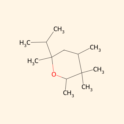 CC(C)C1(C)CC(C)C(C)(C)C(C)O1